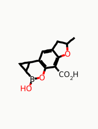 CC1Cc2cc3c(c(C(=O)O)c2O1)OB(O)C1CC31